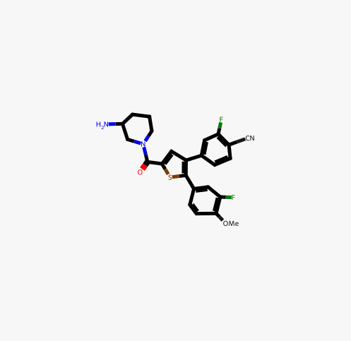 COc1ccc(-c2sc(C(=O)N3CCCC(N)C3)cc2-c2ccc(C#N)c(F)c2)cc1F